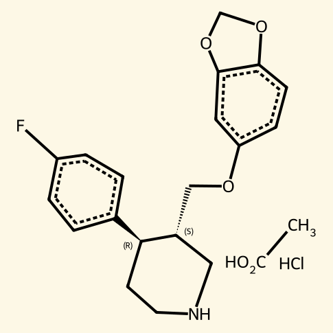 CC(=O)O.Cl.Fc1ccc([C@@H]2CCNC[C@H]2COc2ccc3c(c2)OCO3)cc1